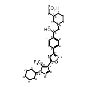 O=C(O)C[C@H]1CCCN(C[C@H](O)c2ccc(-c3noc(-c4cnn(C5CCCCC5)c4C(F)(F)F)n3)cc2)C1